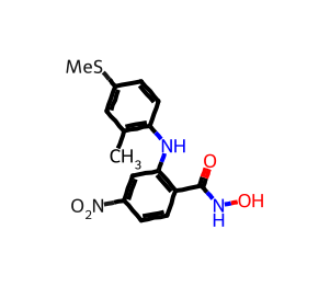 CSc1ccc(Nc2cc([N+](=O)[O-])ccc2C(=O)NO)c(C)c1